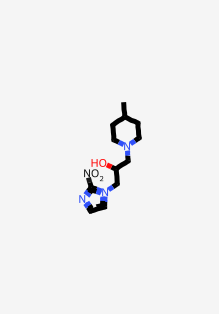 CC1CCN(CC(O)Cn2ccnc2[N+](=O)[O-])CC1